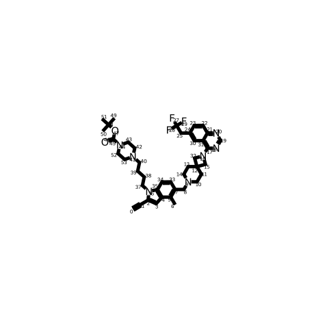 C#Cc1cc2c(C)c(CN3CCC4(CC3)CN(c3ncnc5ccc(CC(F)(F)F)cc35)C4)ccc2n1CCCCN1CCN(C(=O)OC(C)(C)C)CC1